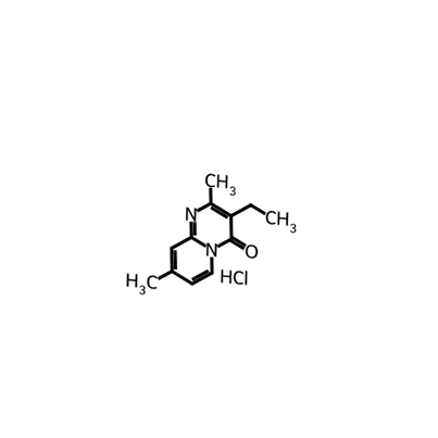 CCc1c(C)nc2cc(C)ccn2c1=O.Cl